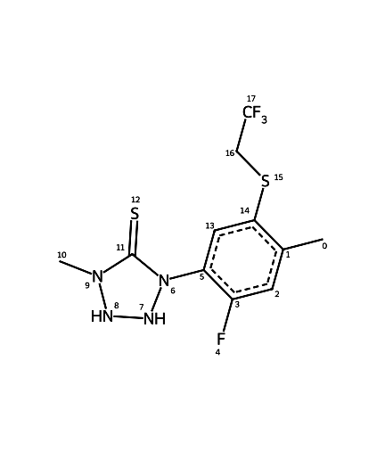 Cc1cc(F)c(N2NNN(C)C2=S)cc1SCC(F)(F)F